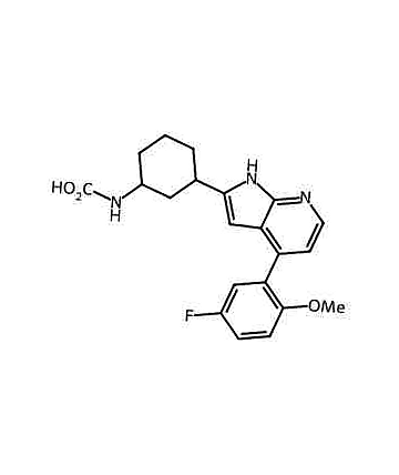 COc1ccc(F)cc1-c1ccnc2[nH]c(C3CCCC(NC(=O)O)C3)cc12